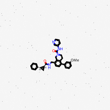 COc1cccc(-c2ccc(CNC(=O)[C@H]3C[C@@H]3c3ccccc3)c3c2CCN(C(=O)Nc2cccnc2)C3)c1